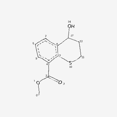 COC(=O)c1cccc2c1SCCC2O